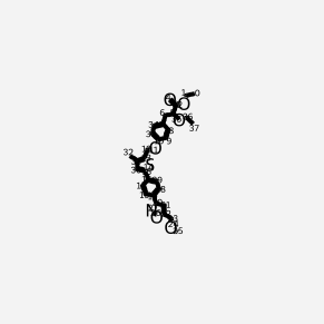 CCOC(=O)C(Cc1ccc(OCc2sc(-c3ccc(-c4cc(COC)on4)cc3)cc2C)cc1)OCC